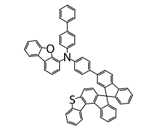 c1ccc(-c2ccc(N(c3ccc(-c4ccc5c(c4)C4(c6ccccc6-5)c5ccccc5-c5c4ccc4sc6ccccc6c54)cc3)c3cccc4c3oc3ccccc34)cc2)cc1